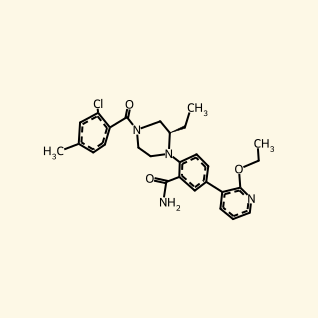 CCOc1ncccc1-c1ccc(N2CCN(C(=O)c3ccc(C)cc3Cl)C[C@H]2CC)c(C(N)=O)c1